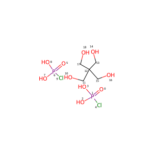 O=P(O)(O)Cl.O=P(O)(O)Cl.OCC(CO)(CO)CO